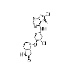 Cn1c(Cl)cc2ncnc(Nc3ccc(Oc4cccc5c4CC(=O)N5)c(Cl)c3)c21